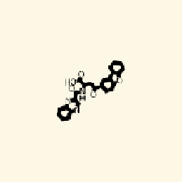 O=C(CC(NC(=O)c1cnc2ccccc2n1)C(=O)O)c1ccc2oc3ccccc3c2c1